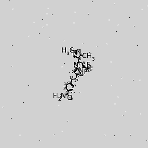 Cc1nn(C)cc1-c1cc(C(F)(F)F)n2nc(CCc3ccc(C(N)=O)cc3)cc2n1